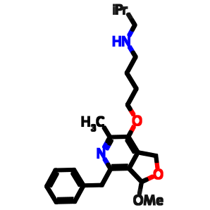 COC1OCc2c(OCCCCNCC(C)C)c(C)nc(Cc3ccccc3)c21